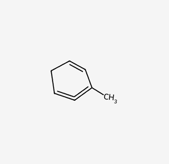 CC1=C=CCC=C1